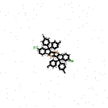 Cc1ccc(C2(c3ccc(C)cc3)c3cc(Br)ccc3-c3sc4c5c(sc4c32)-c2ccc(Br)cc2C5(c2ccc(C)cc2)c2ccc(C)cc2)cc1